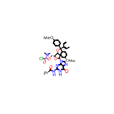 C=C/C(=C\C)C(O[C@H]1C[C@H](n2cnc3c(=O)[nH]c(NC(=O)C(C)C)nc32)O[C@@H]1COP(=O)(Cl)N(C)C)(c1ccc(OC)cc1)c1ccc(OC)cc1